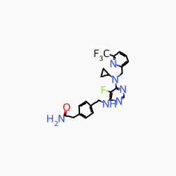 NC(=O)Cc1ccc(CNc2ncnc(N(Cc3cccc(C(F)(F)F)n3)C3CC3)c2F)cc1